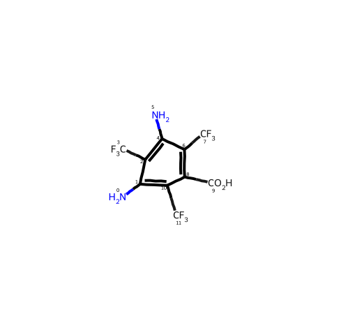 Nc1c(C(F)(F)F)c(N)c(C(F)(F)F)c(C(=O)O)c1C(F)(F)F